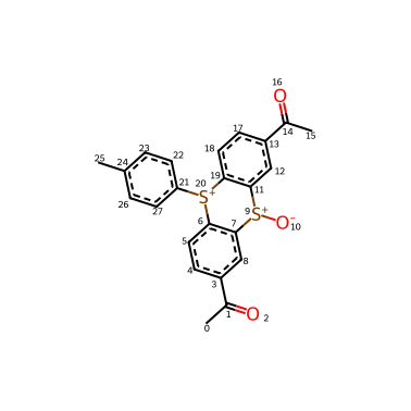 CC(=O)c1ccc2c(c1)[S+]([O-])c1cc(C(C)=O)ccc1[S+]2c1ccc(C)cc1